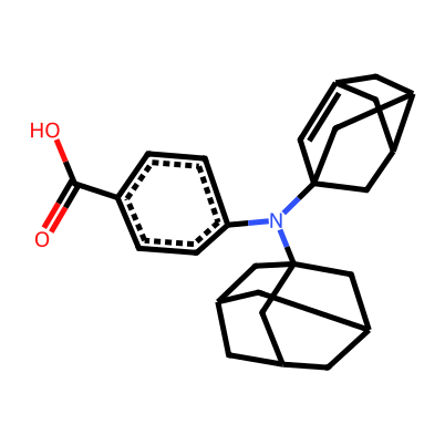 O=C(O)c1ccc(N(C23C=C4CC(C2)C(C4)C3)C23CC4CC(CC(C4)C2)C3)cc1